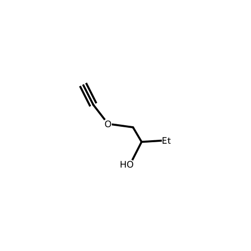 C#COCC(O)CC